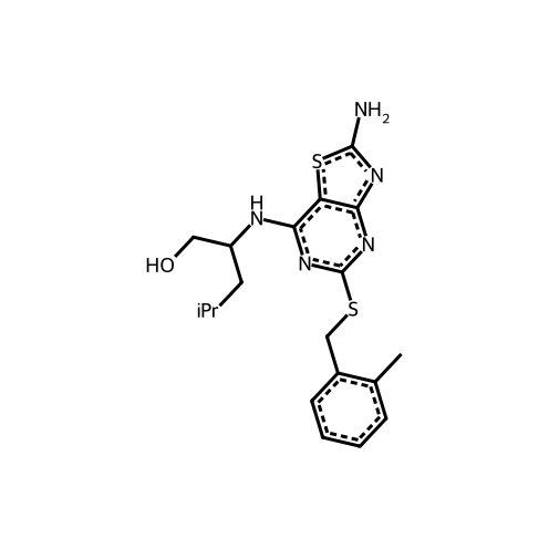 Cc1ccccc1CSc1nc(NC(CO)CC(C)C)c2sc(N)nc2n1